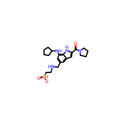 O=C(c1cc2cc(CNCC[SH](=O)=O)cc(NC3CCCC3)c2[nH]1)N1CCCC1